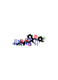 Cc1cc(NC(=O)c2c(C)c(C(=O)C(=O)NC(C)(C)c3nc(CN(C)C)no3)n3c2CCCC3)ccc1F